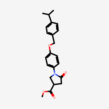 COC(=O)C1CC(=O)N(c2ccc(OCc3ccc(C(C)C)cc3)cc2)C1